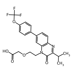 CC(C)c1nc2ccc(-c3ccc(OC(F)(F)F)cc3)cc2n(CCOCC(=O)O)c1=O